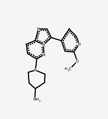 COc1cc(-c2cnc3ccc(N4CCC(N)CC4)nn23)ccn1